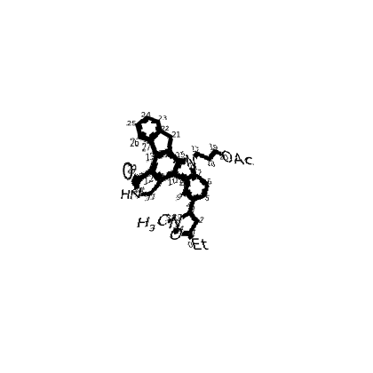 CCC1CC(c2ccc3c(c2)c2c4c(c5c(c2n3CCCOC(C)=O)Cc2ccccc2-5)C(=O)NC4)N(C)O1